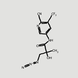 CC(O)(CN=[N+]=[N-])C(=O)Nc1cnc(C#N)c(C(F)(F)F)c1